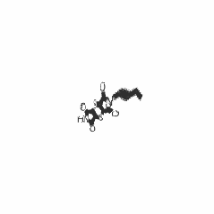 CCCCn1c(=O)c2sc3c(=O)[nH]c(=O)c3sc2c1=O